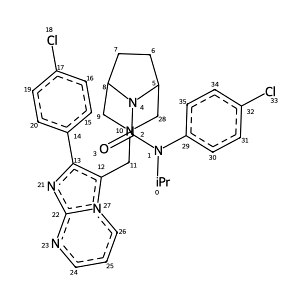 CC(C)N(C(=O)N1C2CCC1CN(Cc1c(-c3ccc(Cl)cc3)nc3ncccn13)C2)c1ccc(Cl)cc1